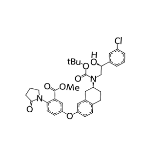 COC(=O)c1cc(Oc2ccc3c(c2)C[C@@H](N(C[C@@H](O)c2cccc(Cl)c2)C(=O)OC(C)(C)C)CC3)ccc1N1CCCC1=O